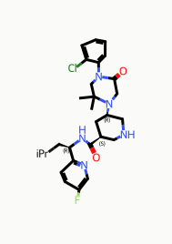 CC(C)C[C@@H](NC(=O)[C@@H]1CNC[C@H](N2CC(=O)N(c3ccccc3Cl)CC2(C)C)C1)c1ccc(F)cn1